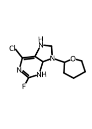 FC1=NC(Cl)=C2NCN(C3CCCCO3)C2N1